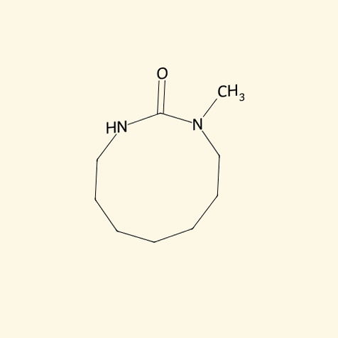 CN1CCCCCCCNC1=O